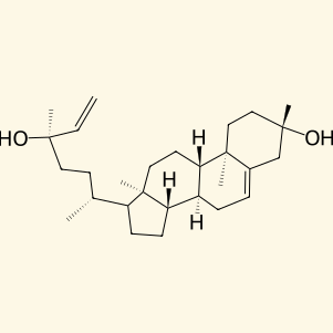 C=C[C@](C)(O)CC[C@@H](C)C1CC[C@H]2[C@@H]3CC=C4C[C@@](C)(O)CC[C@]4(C)[C@H]3CC[C@]12C